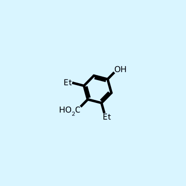 CCc1cc(O)cc(CC)c1C(=O)O